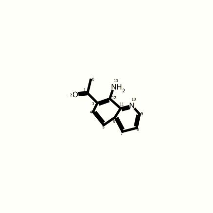 CC(=O)c1ccc2cccnc2c1N